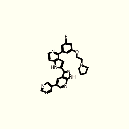 Fc1cc(OCCN2CCCC2)cc(-c2nccc3[nH]c(-c4n[nH]c5ncc(-c6cncnc6)cc45)cc23)c1